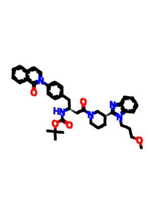 COCCCn1c([C@@H]2CCCN(C(=O)C[C@@H](Cc3ccc(-n4ccc5ccccc5c4=O)cc3)NC(=O)OC(C)(C)C)C2)nc2ccccc21